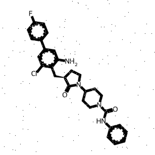 Nc1cc(-c2ccc(F)cc2)cc(Cl)c1C[C@H]1CCN(C2CCN(C(=O)Nc3ccccc3)CC2)C1=O